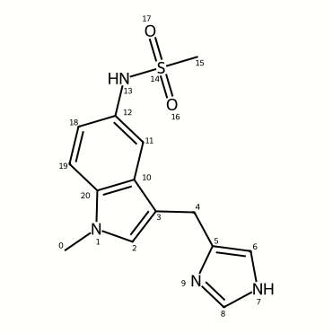 Cn1cc(Cc2c[nH]cn2)c2cc(NS(C)(=O)=O)ccc21